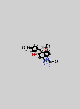 CCOc1ccc2c3c1C(C(C)c1ccc([N+](=O)[O-])cc1)C(O)CC3C(N)N2C=O